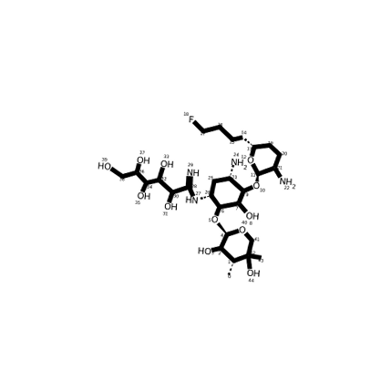 C[C@@H]1C(O)[C@@H](OC2C(O)C(O[C@H]3O[C@H](CCCCF)CCC3N)[C@@H](N)C[C@H]2NC(=N)C(O)C(O)C(O)C(O)CO)OCC1(C)O